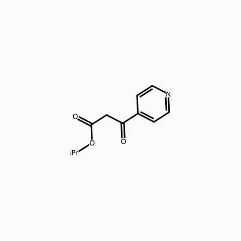 CC(C)OC(=O)CC(=O)c1ccncc1